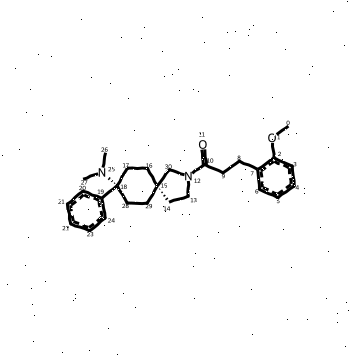 COc1ccccc1CCC(=O)N1CC[C@]2(CC[C@@](c3ccccc3)(N(C)C)CC2)C1